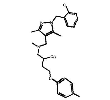 Cc1ccc(OCCC(O)CN(C)Cc2c(C)nn(Cc3ccccc3Cl)c2C)cc1